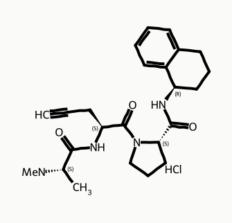 C#CC[C@H](NC(=O)[C@H](C)NC)C(=O)N1CCC[C@H]1C(=O)N[C@@H]1CCCc2ccccc21.Cl